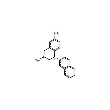 Cc1ccc2c(c1)CN(C)C[C@H]2c1ccc2ccccc2c1